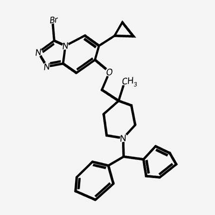 CC1(COc2cc3nnc(Br)n3cc2C2CC2)CCN(C(c2ccccc2)c2ccccc2)CC1